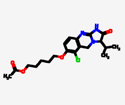 CC(=O)OCCCCCOc1ccc2c(c1Cl)CN1C(=N2)NC(=O)C1C(C)C